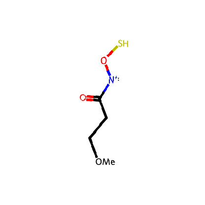 COCCC(=O)[N+]OS